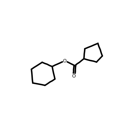 O=C(OC1CCCCC1)C1CCCC1